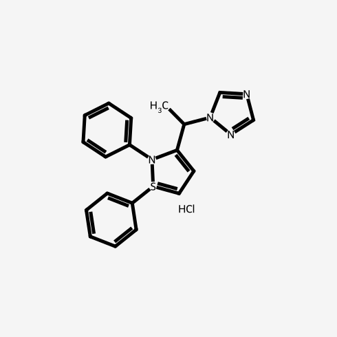 CC(C1=CC=S(c2ccccc2)N1c1ccccc1)n1cncn1.Cl